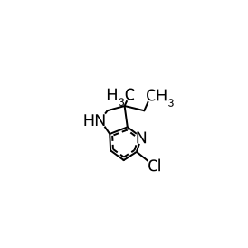 CCC1(C)CNc2ccc(Cl)nc21